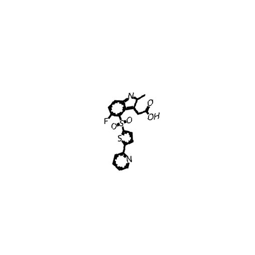 CC1N=c2ccc(F)c(S(=O)(=O)c3ccc(-c4ccccn4)s3)c2=C1CC(=O)O